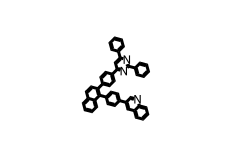 c1ccc(-c2cc(-c3ccc(-c4ccc5ccccc5c4-c4ccc(-c5cnc6ccccc6c5)cc4)cc3)nc(-c3ccccc3)n2)cc1